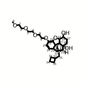 COCCOCCOCCOC1=C2OC3C(O)CC[C@@]4(O)[C@H]5CC(C=C1)C2[C@@]34CCN5CC1CCC1